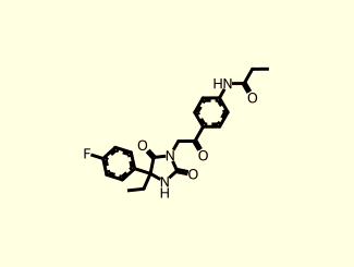 CCC(=O)Nc1ccc(C(=O)CN2C(=O)NC(CC)(c3ccc(F)cc3)C2=O)cc1